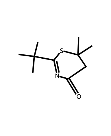 CC1(C)CC(=O)N=C(C(C)(C)C)S1